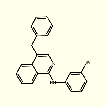 CC(C)c1cccc(Nc2ncc(Cc3ccncc3)c3ccccc23)c1